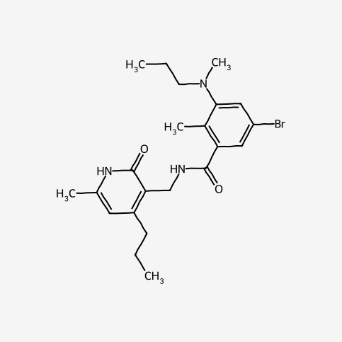 CCCc1cc(C)[nH]c(=O)c1CNC(=O)c1cc(Br)cc(N(C)CCC)c1C